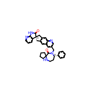 O=C1N(Cc2cnc3cc4c(cc3c2)C[C@@]2(C4)C(=O)Nc3ncccc32)[C@H](c2ccccc2)CCNC12CCCC2